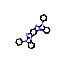 c1ccc(-n2c3ccccc3n3c4cc5c(cc4nc23)nc2n(-c3ccccc3)c3ccccc3n52)cc1